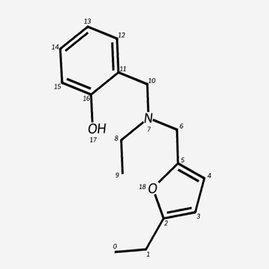 CCc1ccc(CN(CC)Cc2ccccc2O)o1